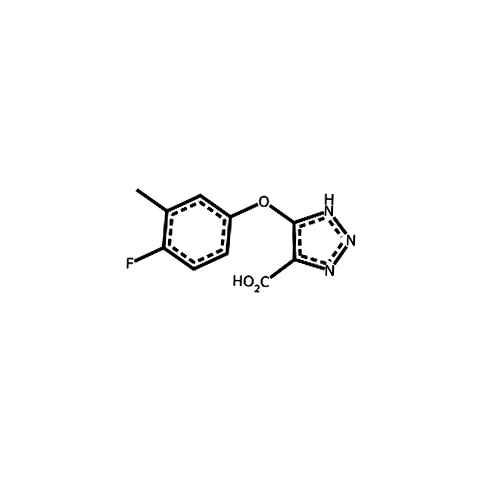 Cc1cc(Oc2[nH]nnc2C(=O)O)ccc1F